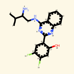 CC(C)C(N)CNc1nc(-c2cc(F)c(F)cc2O)nc2ccccc12